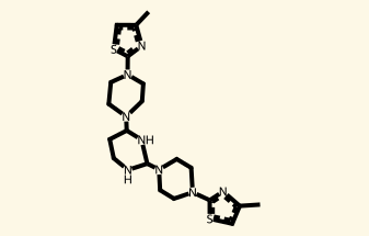 Cc1csc(N2CCN(C3CCNC(N4CCN(c5nc(C)cs5)CC4)N3)CC2)n1